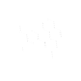 CCCCC1C=Cc2ccccc2N1C(=O)c1ccc(OC)c(OC)c1